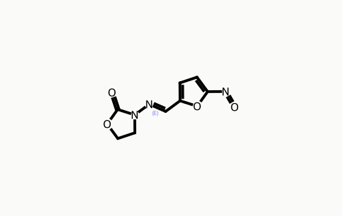 O=Nc1ccc(/C=N/N2CCOC2=O)o1